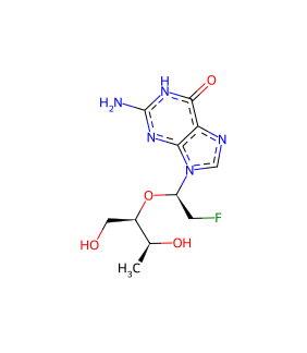 C[C@H](O)[C@@H](CO)O[C@H](CF)n1cnc2c(=O)[nH]c(N)nc21